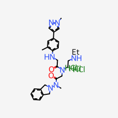 CCNCCN(CC(=O)N(C)N1Cc2ccccc2C1)C(=O)CNc1ccc(-c2cnn(C)c2)cc1C.Cl.Cl.Cl